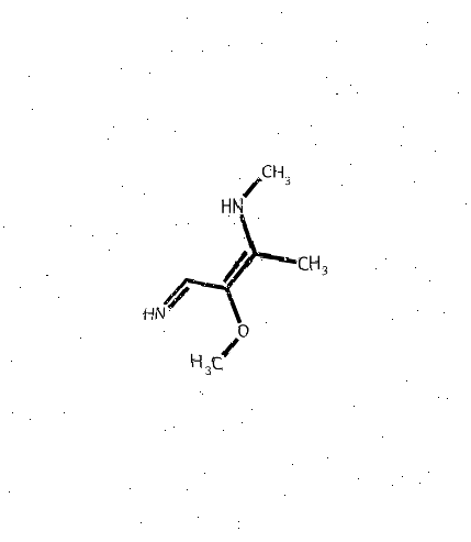 CN/C(C)=C(\C=N)OC